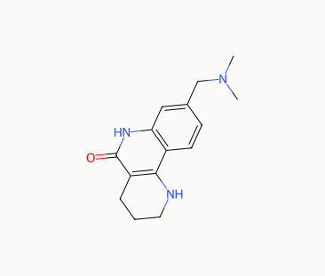 CN(C)Cc1ccc2c3c(c(=O)[nH]c2c1)CCCN3